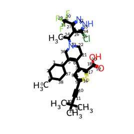 CC1CCC(C2=C(c3cc(C#CC(C)(C)C)sc3C(=O)O)CCN(C(C)c3c(C(F)(F)F)n[nH]c3Cl)C2)CC1